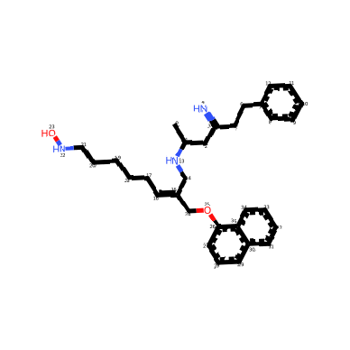 CC(CC(=N)CCc1ccccc1)NC/C(=C\CCCCCNO)COc1cccc2ccccc12